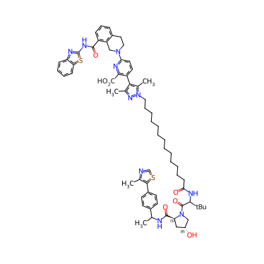 Cc1ncsc1-c1ccc(C(C)NC(=O)[C@@H]2C[C@@H](O)CN2C(=O)C(NC(=O)CCCCCCCCCCCCCn2nc(C)c(-c3ccc(N4CCc5cccc(C(=O)Nc6nc7ccccc7s6)c5C4)nc3C(=O)O)c2C)C(C)(C)C)cc1